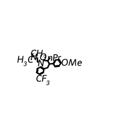 CCCC1C(=O)N(CCN(C)C)c2ccc(C(F)(F)F)cc2CC1c1ccc(OC)cc1